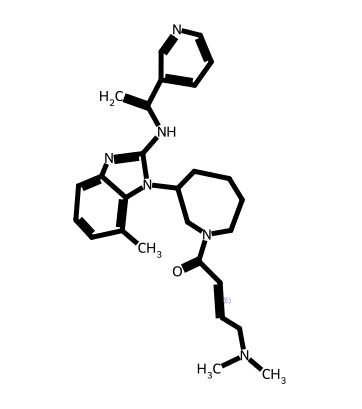 C=C(Nc1nc2cccc(C)c2n1C1CCCCN(C(=O)/C=C/CN(C)C)C1)c1cccnc1